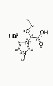 Br.CCOC(C(=O)O)[n+]1ccn(C)c1